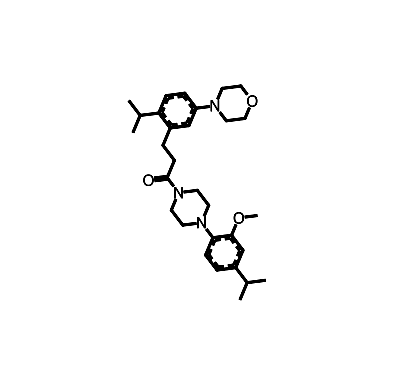 COc1cc(C(C)C)ccc1N1CCN(C(=O)CCc2cc(N3CCOCC3)ccc2C(C)C)CC1